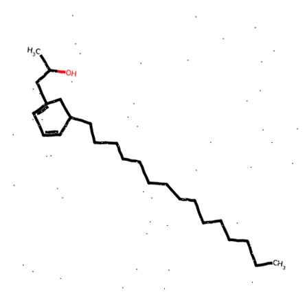 CCCCCCCCCCCCCCCC1C=CC=C(CC(C)O)C1